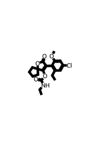 CCNC(=O)OC1=C(c2c(CC)cc(Cl)cc2OC)C(=O)OC12CCCC2